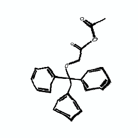 CC(=O)OC(=O)COC(c1ccccc1)(c1ccccc1)c1ccccc1